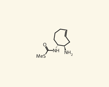 CSC(=O)N[C@@H]1CCC/C=C/C[C@H]1N